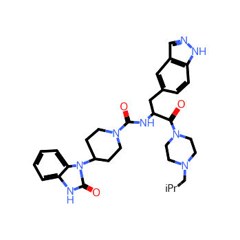 CC(C)CN1CCN(C(=O)C(Cc2ccc3[nH]ncc3c2)NC(=O)N2CCC(n3c(=O)[nH]c4ccccc43)CC2)CC1